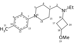 CCN(CC1CCN(c2ccc(C)cc2)CC1)C1CC(OC)C1